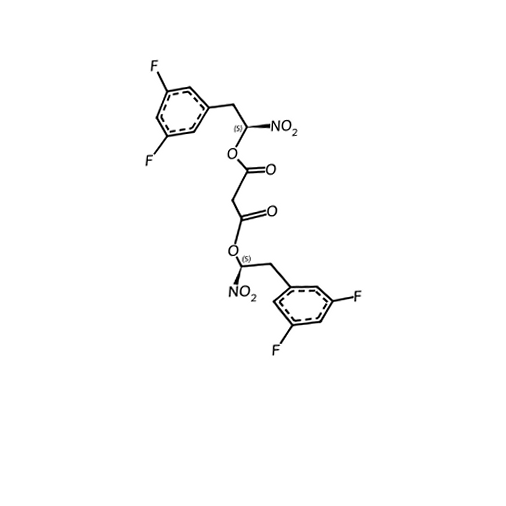 O=C(CC(=O)O[C@@H](Cc1cc(F)cc(F)c1)[N+](=O)[O-])O[C@@H](Cc1cc(F)cc(F)c1)[N+](=O)[O-]